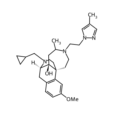 COc1ccc2c(c1)[C@@]13CCN(CCn4cc(C)cn4)C(C)C[C@@]1(O)[C@@H](C2)N(CC1CC1)CC3